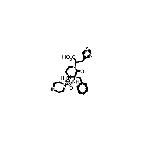 CN1CCN(C(Cc2cscn2)C(=O)O)C(=O)[C@]1(Cc1ccccc1)NS(=O)(=O)N1CCNCC1